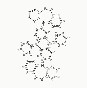 C1=CC2=C(CC1)N(c1ccc3c(-c4ccccn4)c4cc(N5c6ccccc6CCc6ccccc65)ccc4c(-c4ccccn4)c3c1)c1ccccc1CC2